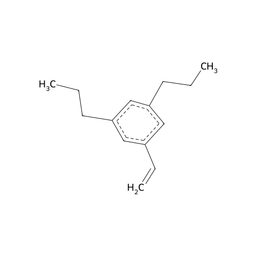 C=Cc1cc(CCC)cc(CCC)c1